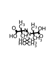 CC(C)(N=NC(C)(C)C(=O)O)C(=O)O.CO.CO